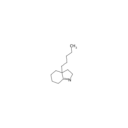 CCCCCC12CCCCC1=NCC2